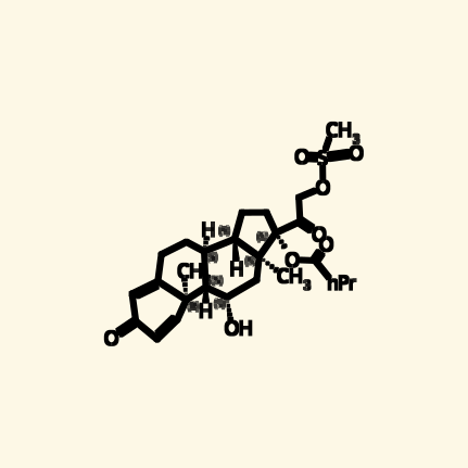 CCCC(=O)O[C@@]1(C(=O)COS(C)(=O)=O)CC[C@H]2[C@@H]3CCC4=CC(=O)C=C[C@]4(C)[C@H]3[C@@H](O)C[C@@]21C